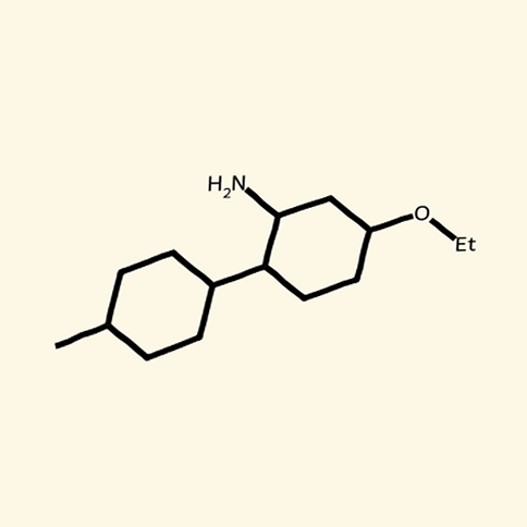 CCOC1CCC(C2CCC(C)CC2)C(N)C1